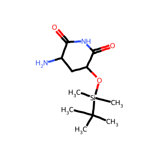 CC(C)(C)[Si](C)(C)OC1CC(N)C(=O)NC1=O